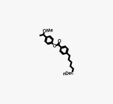 CCCCCCCCCCCCCCCc1ccc(C(=O)Oc2ccc(C(C)OC)cc2)cc1